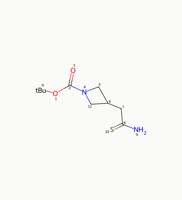 CC(C)(C)OC(=O)N1CC(CC(N)=S)C1